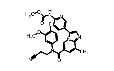 COC(=O)Nc1ccc(-c2cnc3c(C)cc(C(=O)N(CCC#N)c4ccc(F)c(OC)c4)cn23)cn1